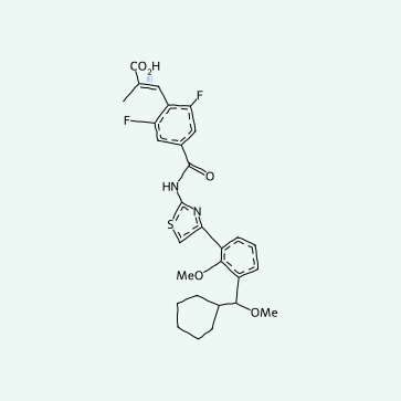 COc1c(-c2csc(NC(=O)c3cc(F)c(/C=C(\C)C(=O)O)c(F)c3)n2)cccc1C(OC)C1CCCCC1